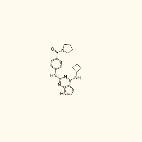 O=C(c1ccc(Nc2nc(NC3CCC3)c3cc[nH]c3n2)cc1)N1CCCC1